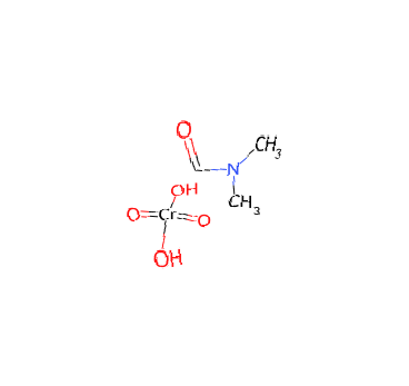 CN(C)C=O.[O]=[Cr](=[O])([OH])[OH]